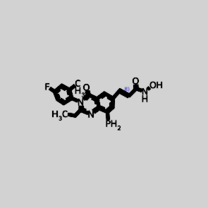 CCc1nc2c(P)cc(/C=C/C(=O)NO)cc2c(=O)n1-c1ccc(F)cc1C